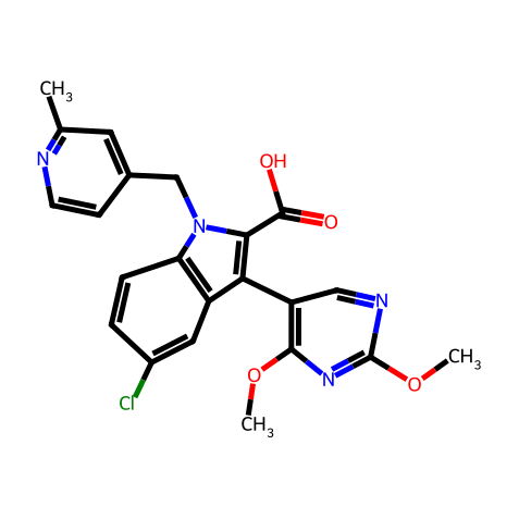 COc1ncc(-c2c(C(=O)O)n(Cc3ccnc(C)c3)c3ccc(Cl)cc23)c(OC)n1